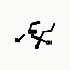 C=CC=O.CCCS(=O)(=O)O.[CH3][Na]